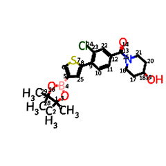 CC1(C)OB(c2csc(-c3ccc(C(=O)N4CCC(O)CC4)cc3Cl)c2)OC1(C)C